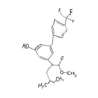 COC(=O)C(CC(C)C)c1cc(O)cc(-c2ccc(C(F)(F)F)cc2)c1